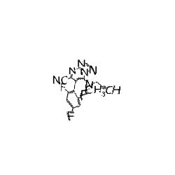 C#CCN(C)c1c(-c2c(F)cc(F)cc2F)c(C#N)nc2ncnn12